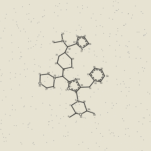 CC1CN(c2oc(C(C3CCC(C(c4cccs4)N(C)C)CC3)N3CCOCC3)nc2Cc2ccccc2)CC(C)O1